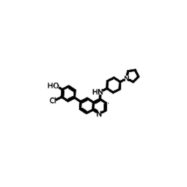 Oc1ccc(-c2ccc3nc[c]c(NC4CCC(N5CCCC5)CC4)c3c2)cc1Cl